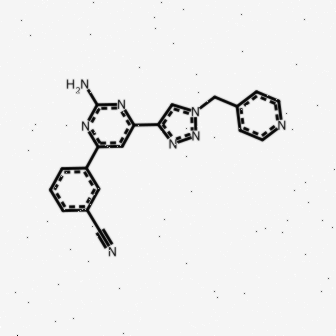 N#Cc1cccc(-c2cc(-c3cn(Cc4ccncc4)nn3)nc(N)n2)c1